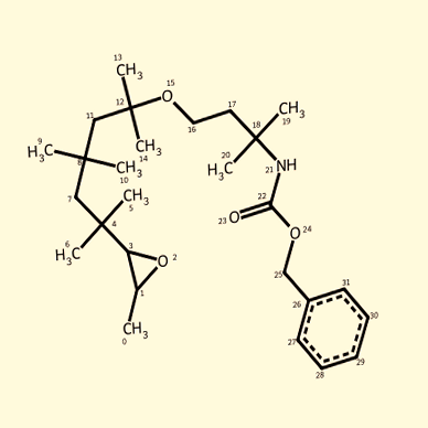 CC1OC1C(C)(C)CC(C)(C)CC(C)(C)OCCC(C)(C)NC(=O)OCc1ccccc1